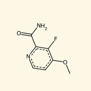 COc1ccnc(C(N)=O)c1F